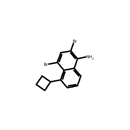 Nc1c(Br)cc(Br)c2c(C3CCC3)cccc12